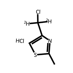 Cl.[2H]C([2H])(Cl)c1csc(C)n1